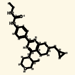 CCNC(=O)Nc1ccc(-c2nc3c(c(N4CCOCC4C)n2)CCN(CC2CC2)C3)cc1